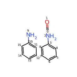 C=O.Nc1ccccc1.Nc1ccccc1